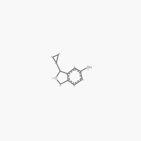 Oc1ccc2c(c1)C(C1CC1)OC2